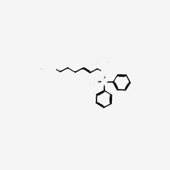 C[C@@H](/C=C/CCCC(=O)O)O[Si](c1ccccc1)(c1ccccc1)C(C)(C)C